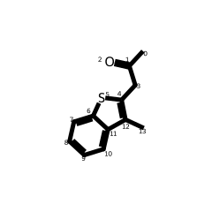 CC(=O)Cc1sc2ccccc2c1C